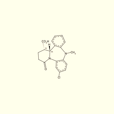 CN1c2ccccc2[C@H]2[C@@H](C(=O)O)CCC(=O)N2c2cc(Cl)ccc21